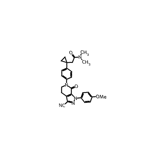 COc1ccc(-n2nc(C#N)c3c2C(=O)N(c2ccc(C4(CC(=O)N(C)C)CC4)cc2)CC3)cc1